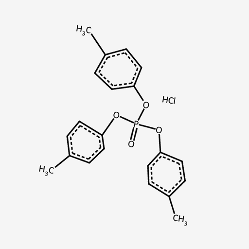 Cc1ccc(OP(=O)(Oc2ccc(C)cc2)Oc2ccc(C)cc2)cc1.Cl